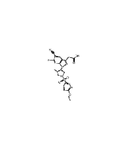 CCOc1ccc(S(=O)(=O)N2C[C@@H](C)[C@@H](n3nc(CC(=O)O)c4cc(C#N)c(F)cc43)C2)nn1